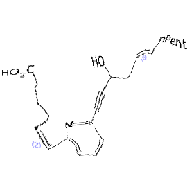 CCCCC/C=C/CC(O)C#Cc1cccc(/C=C\CCCC(=O)O)n1